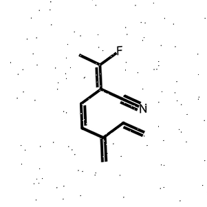 C=CC(=C)/C=C\C(C#N)=C(/C)F